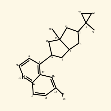 CC1(C2CC3CC(c4ccnc5ccc(F)cc45)CC3(C)C2)CC1